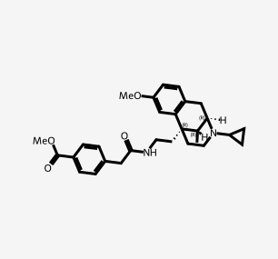 COC(=O)c1ccc(CC(=O)NCC[C@]23CCN(C4CC4)[C@H](Cc4ccc(OC)cc42)[C@@H]3C)cc1